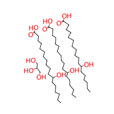 CCCCCCC(O)CCCCCCCCCCC(=O)O.CCCCCCC(O)CCCCCCCCCCC(=O)O.CCCCCCC(O)CCCCCCCCCCC(=O)O.OCC(O)CO